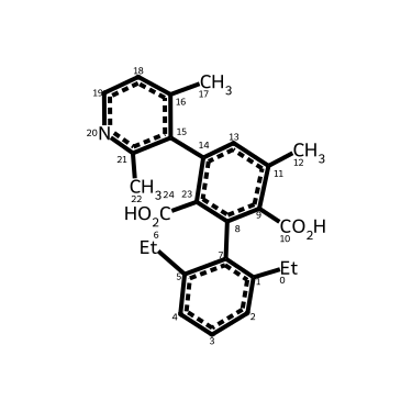 CCc1cccc(CC)c1-c1c(C(=O)O)c(C)cc(-c2c(C)ccnc2C)c1C(=O)O